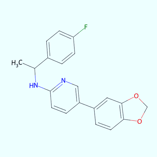 CC(Nc1ccc(-c2ccc3c(c2)OCO3)cn1)c1ccc(F)cc1